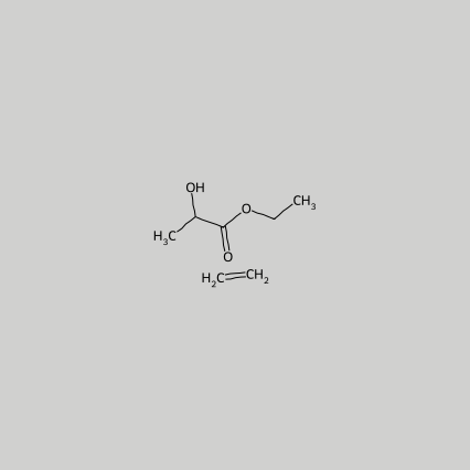 C=C.CCOC(=O)C(C)O